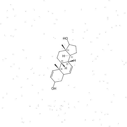 C[C@]12C=CC(O)CC1C=C[C@@H]1[C@H]2CC[C@]2(C)C(O)CC[C@@H]12